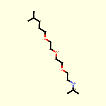 CC(C)CCCOCCOCCOCCNC(C)C